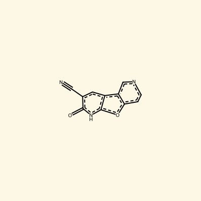 N#Cc1cc2c([nH]c1=O)oc1ccncc12